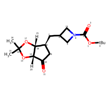 CC(C)(C)OC(=O)N1CC(C[C@H]2CC(=O)[C@@H]3OC(C)(C)O[C@H]23)C1